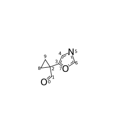 O=CC1(c2cnco2)CC1